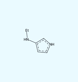 CCNc1cc[nH]c1